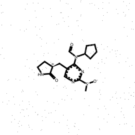 C[S+]([O-])c1ncc(C[C@@H]2CCNC2=O)c(N(C=O)C2CCCC2)n1